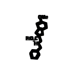 CCOC(=O)C1(CNCc2ccccc2)Cc2ccc(OC)cc2C1